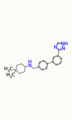 CC1(C)CCC(NCc2ccc(-c3cccc(-c4nc[nH]n4)c3)cc2)CC1